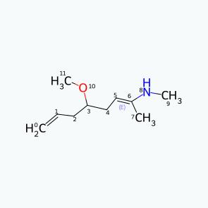 C=CCC(C/C=C(\C)NC)OC